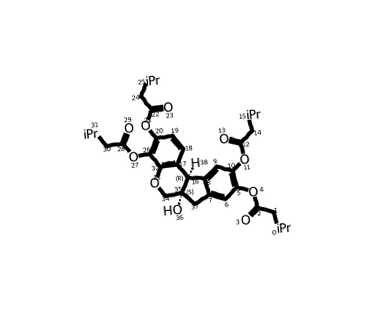 CC(C)CC(=O)Oc1cc2c(cc1OC(=O)CC(C)C)[C@@H]1c3ccc(OC(=O)CC(C)C)c(OC(=O)CC(C)C)c3OC[C@]1(O)C2